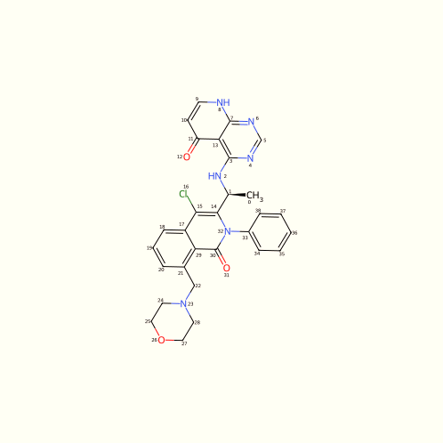 C[C@H](Nc1ncnc2[nH]ccc(=O)c12)c1c(Cl)c2cccc(CN3CCOCC3)c2c(=O)n1-c1ccccc1